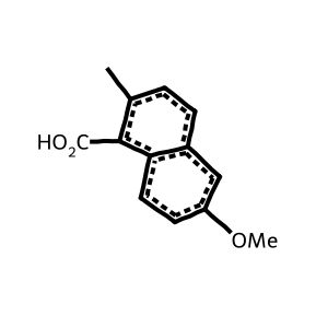 COc1ccc2c(C(=O)O)c(C)ccc2c1